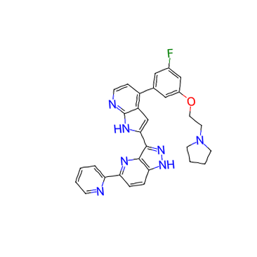 Fc1cc(OCCN2CCCC2)cc(-c2ccnc3[nH]c(-c4n[nH]c5ccc(-c6ccccn6)nc45)cc23)c1